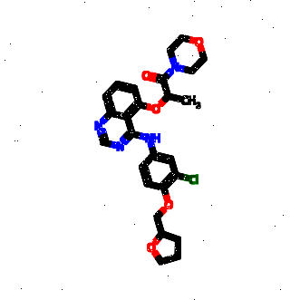 CC(Oc1cccc2ncnc(Nc3ccc(OCC4CCCO4)c(Cl)c3)c12)C(=O)N1CCOCC1